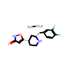 CC(=O)O.O=c1cc([C@H]2CCN[C@@H](Cc3ccc(F)c(F)c3)C2)o[nH]1